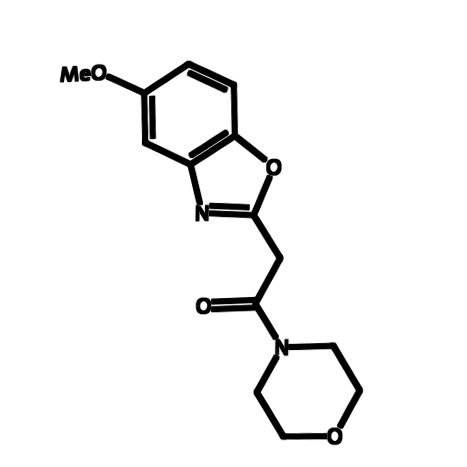 COc1ccc2oc(CC(=O)N3CCOCC3)nc2c1